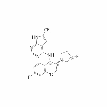 Fc1ccc2c(c1)OC[C@H](N1CC[C@H](F)C1)[C@H]2Nc1ncnc2[nH]c(C(F)(F)F)cc12